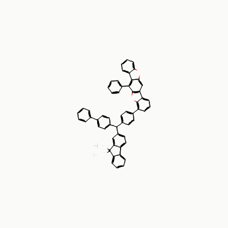 CC1(C)c2ccccc2-c2ccc(C(c3ccc(-c4ccccc4)cc3)c3ccc(-c4cccc5c4oc4c(-c6ccccc6)c6c(cc45)oc4ccccc46)cc3)cc21